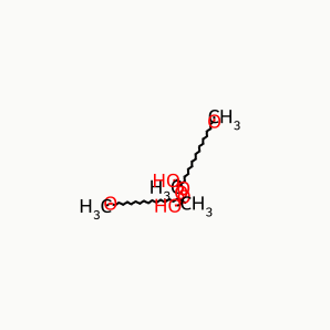 COCCCCCCCCCCCCCCCCC(C)(CO)OOOC(C)(CO)CCCCCCCCCCCCCCCCOC